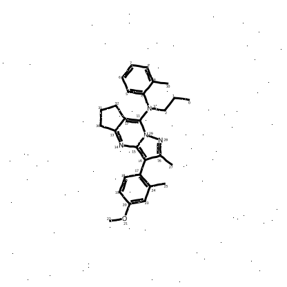 CCCN(c1ccccc1C)c1c2c(nc3c(-c4ccc(OC)cc4C)c(C)nn13)CCC2